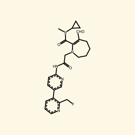 CN(C(=O)C1=C(C=O)CCCCN1CC(=O)Nc1ccc(-c2cccnc2CF)cn1)C1CC1